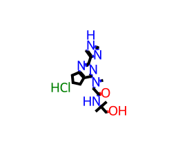 CN(CC(=O)NC(C)(C)CO)c1nc(-c2c[nH]cn2)nc2c1CCC2.Cl